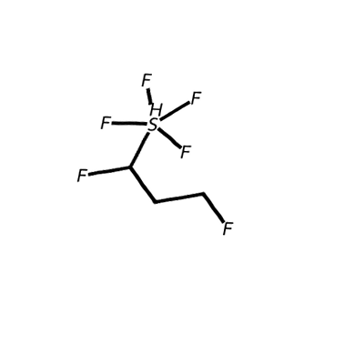 FCCC(F)[SH](F)(F)(F)F